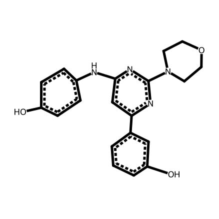 Oc1ccc(Nc2cc(-c3cccc(O)c3)nc(N3CCOCC3)n2)cc1